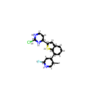 Cc1cnc(F)cc1-c1cccc2cc(-c3ccnc(Cl)n3)sc12